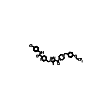 Cc1c(C(=O)N2CCN(Cc3ccc(OCC(F)(F)F)cc3)CC2)nnn1Cc1ccc(C(=O)Nc2ccc(Cl)cc2)nc1